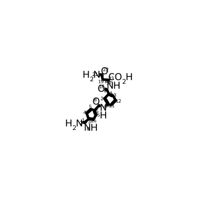 N=C(N)c1ccc(C(=O)Nc2cccc(C(=O)N[C@@H](CC(N)=O)C(=O)O)c2)cc1